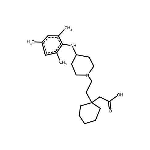 Cc1cc(C)c(NC2CCN(CCC3(CC(=O)O)CCCCC3)CC2)c(C)c1